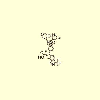 Cc1ccc([C@@H](c2ccn3c(C(F)(F)F)nnc3c2C)C(F)(F)C(=O)O)cc1CN1CC2(CCOCC2)Oc2ncc(F)cc2S1(=O)=O